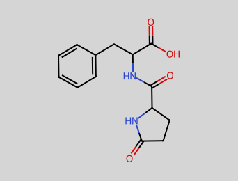 O=C1CCC(C(=O)NC(Cc2[c]cccc2)C(=O)O)N1